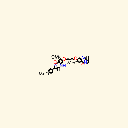 COc1ccc(C2=CN3C(=O)c4cc(OC)c(OCCCCCOc5cc6c(cc5OC)C(=O)N5CCC[C@H]5CN6)cc4NC[C@@H]3C2)cc1